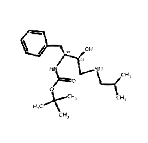 CC(C)CNC[C@H](O)[C@H](Cc1ccccc1)NC(=O)OC(C)(C)C